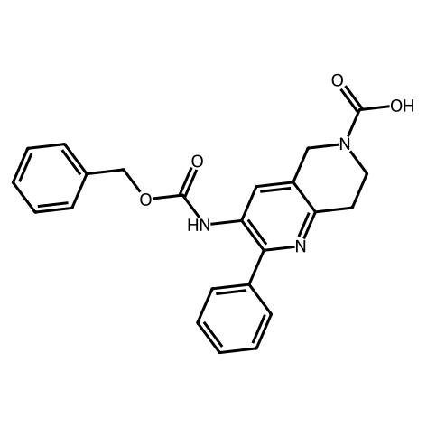 O=C(Nc1cc2c(nc1-c1ccccc1)CCN(C(=O)O)C2)OCc1ccccc1